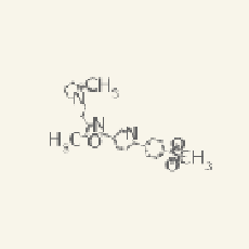 Cc1oc(-c2ccc(-c3ccc(S(C)(=O)=O)cc3)nc2)nc1CCN1CCC[C@H]1C